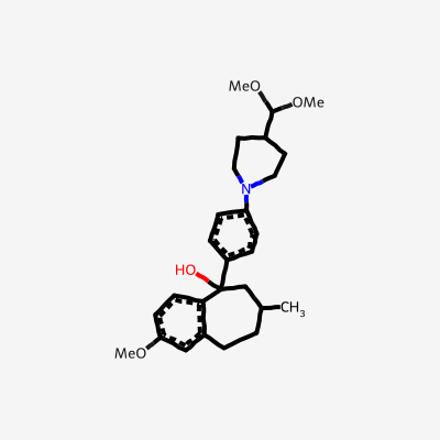 COc1ccc2c(c1)CCC(C)CC2(O)c1ccc(N2CCC(C(OC)OC)CC2)cc1